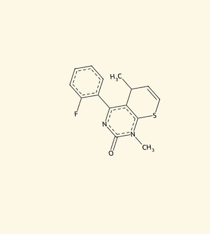 CC1C=CSc2c1c(-c1ccccc1F)nc(=O)n2C